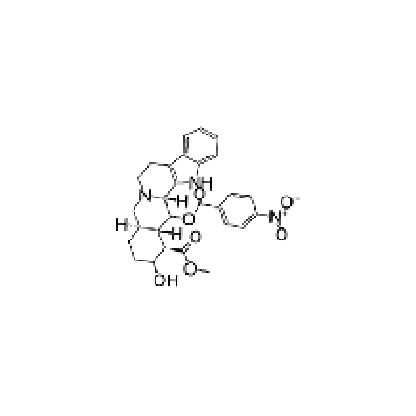 COC(=O)[C@@H]1[C@H]2C(OC(=O)c3ccc([N+](=O)[O-])cc3)[C@H]3c4[nH]c5ccccc5c4CCN3C[C@@H]2CC[C@@H]1O